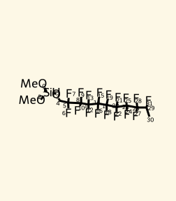 CO[SiH](OC)OCC(F)(F)C(F)(F)C(F)(F)C(F)(F)C(F)(F)C(F)(F)C(F)(F)C(F)(F)C(C)F